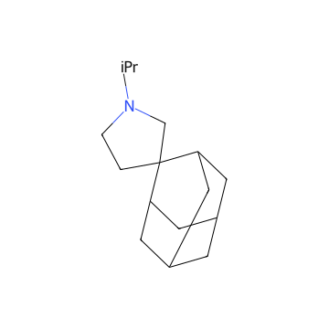 CC(C)N1CCC2(C1)C1CC3CC(C1)CC2C3